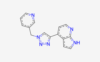 c1cncc(Cn2cc(-c3ccnc4[nH]ccc34)nn2)c1